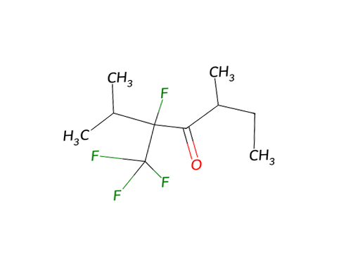 CCC(C)C(=O)C(F)(C(C)C)C(F)(F)F